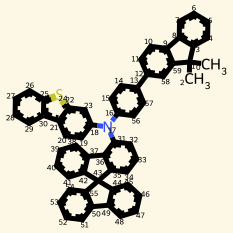 CC1(C)c2ccccc2-c2ccc(-c3ccc(N(c4ccc5c(c4)sc4ccccc45)c4cccc5c4-c4ccccc4C54c5ccccc5-c5ccccc54)cc3)cc21